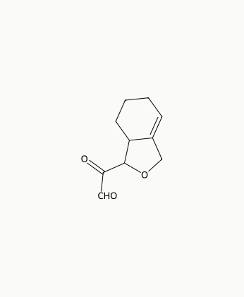 O=CC(=O)C1OCC2=CCCCC21